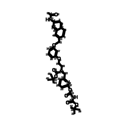 CC(=O)Nc1ccc2ccc(COc3cccc(OCCN(Cc4cccc(OC(=O)NC(=O)OC(C)(C)C)n4)C(=O)OC(C)(C)C)c3)cc2n1